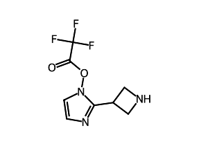 O=C(On1ccnc1C1CNC1)C(F)(F)F